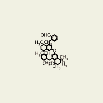 CC1(C)CCC(C)(C)c2c(Cc3ccccc3C=O)cc(Oc3cc(Cc4ccccc4C=O)c4c(c3)C(C)(C)CCC4(C)C)cc21